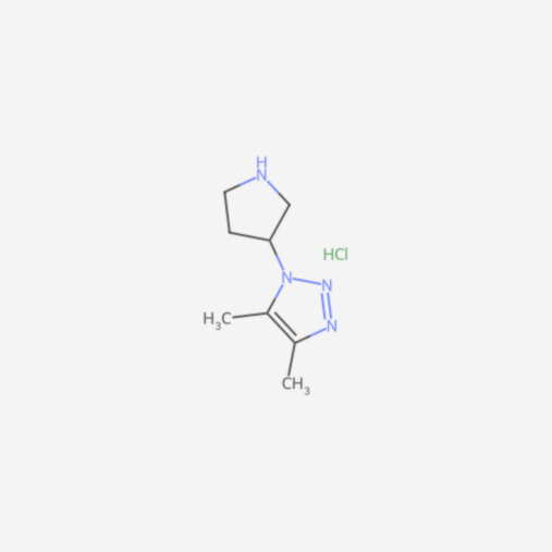 Cc1nnn(C2CCNC2)c1C.Cl